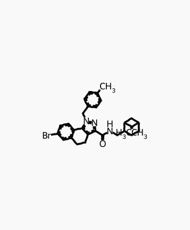 Cc1ccc(Cn2nc(C(=O)NCC3CCC4CC3C4(C)C)c3c2-c2ccc(Br)cc2CC3)cc1